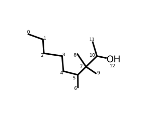 CCCCCC(C)C(C)(C)[C](C)O